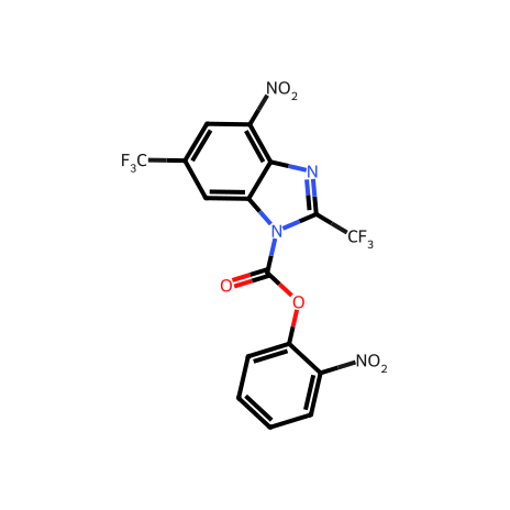 O=C(Oc1ccccc1[N+](=O)[O-])n1c(C(F)(F)F)nc2c([N+](=O)[O-])cc(C(F)(F)F)cc21